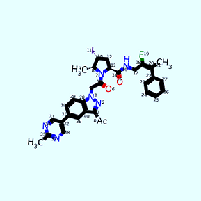 CC(=O)c1nn(CC(=O)N2[C@H](C)[C@H](I)C[C@H]2C(=O)NC/C(F)=C(/C)c2ccccc2)c2ccc(-c3cnc(C)nc3)cc12